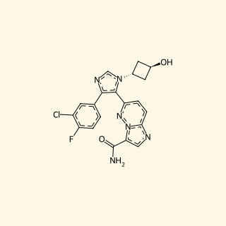 NC(=O)c1cnc2ccc(-c3c(-c4ccc(F)c(Cl)c4)ncn3[C@H]3C[C@H](O)C3)nn12